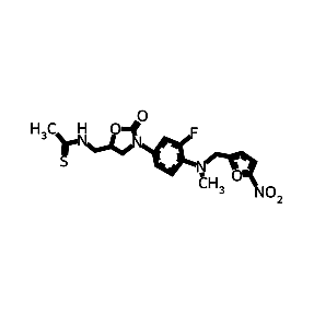 CC(=S)NCC1CN(c2ccc(N(C)Cc3ccc([N+](=O)[O-])o3)c(F)c2)C(=O)O1